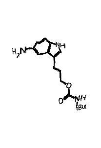 CC(C)(C)NC(=O)OCCCc1c[nH]c2ccc(N)cc12